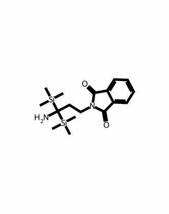 C[Si](C)(C)C(N)(CCN1C(=O)c2ccccc2C1=O)[Si](C)(C)C